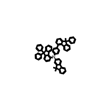 CC1(C)c2ccccc2-c2ccc(N(c3ccc(-c4cccc5c4-c4ccccc4C5(C)c4ccccc4)cc3)c3cccc4c3-c3ccccc3C4(c3ccccc3)c3ccccc3)cc21